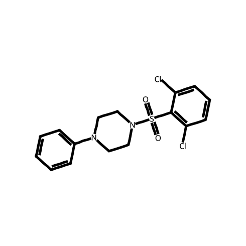 O=S(=O)(c1c(Cl)cccc1Cl)N1CCN(c2ccccc2)CC1